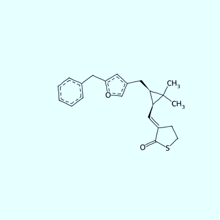 CC1(C)[C@H](Cc2coc(Cc3ccccc3)c2)[C@@H]1/C=C1\CCSC1=O